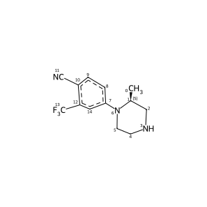 C[C@H]1CNCCN1c1ccc(C#N)c(C(F)(F)F)c1